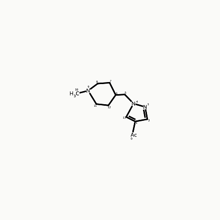 CC(=O)c1cnn(CC2CCN(C)CC2)c1